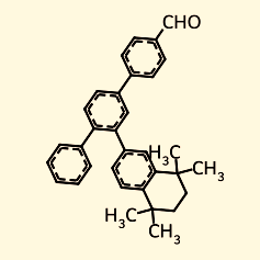 CC1(C)CCC(C)(C)c2cc(-c3cc(-c4ccc(C=O)cc4)ccc3-c3ccccc3)ccc21